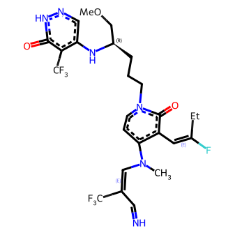 CC/C(F)=C\c1c(N(C)/C=C(\C=N)C(F)(F)F)ccn(CCC[C@H](COC)Nc2cn[nH]c(=O)c2C(F)(F)F)c1=O